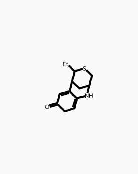 CCC1SCC2CC1C1=CC(=O)CC=C1N2